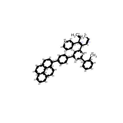 C=C/C(=C(\C=C/C)c1cc(-c2ccc(-c3ccc4ccc5cccc6ccc3c4c56)cc2)nc(-c2ccccc2C)n1)c1cccnc1